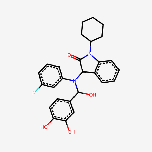 O=C1C(N(c2cccc(F)c2)C(O)c2ccc(O)c(O)c2)c2ccccc2N1C1CCCCC1